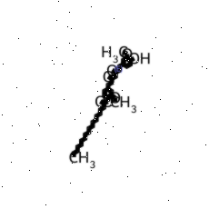 CCCCCCCCCCCCCCCCCC(=O)Oc1ccc(CCC(=O)CC(=O)/C=C/c2ccc(O)c(OC)c2)cc1OC